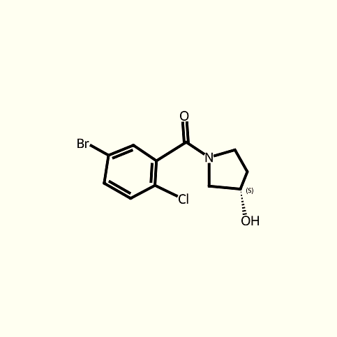 O=C(c1cc(Br)ccc1Cl)N1CC[C@H](O)C1